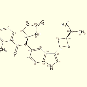 Cc1ccccc1C(=O)C(c1ccc2[nH]cc([C@H]3C[C@H](N(C)C)C3)c2c1)[C@H]1COC(=O)N1